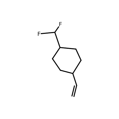 C=CC1CCC(C(F)F)CC1